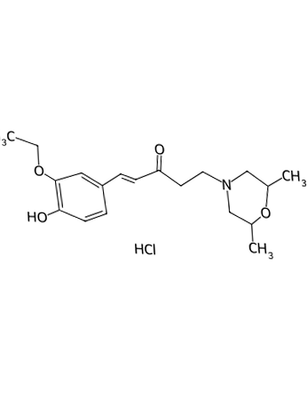 CCOc1cc(C=CC(=O)CCN2CC(C)OC(C)C2)ccc1O.Cl